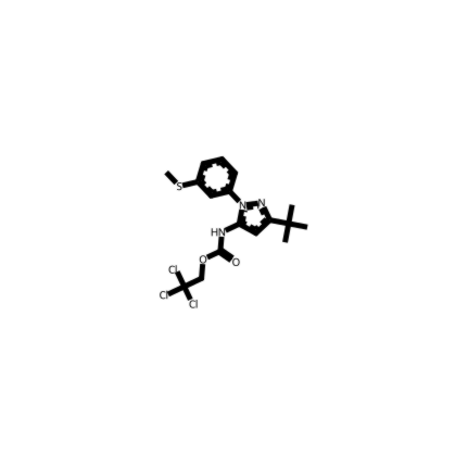 CSc1cccc(-n2nc(C(C)(C)C)cc2NC(=O)OCC(Cl)(Cl)Cl)c1